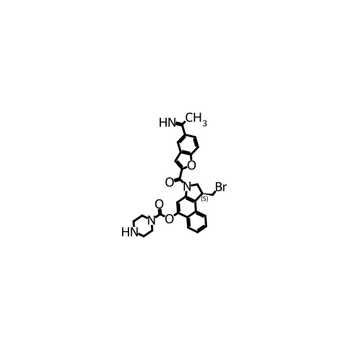 CC(=N)c1ccc2oc(C(=O)N3C[C@@H](CBr)c4c3cc(OC(=O)N3CCNCC3)c3ccccc43)cc2c1